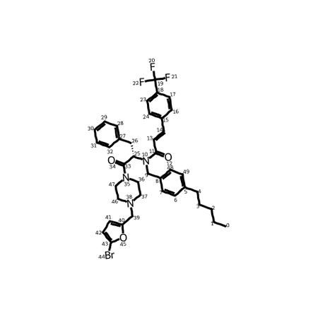 CCCCCc1ccc(CN(C(=O)/C=C/c2ccc(C(F)(F)F)cc2)[C@@H](Cc2ccccc2)C(=O)N2CCN(Cc3ccc(Br)o3)CC2)cc1